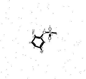 CS(=O)(=O)Oc1cc(F)c[c]c1F